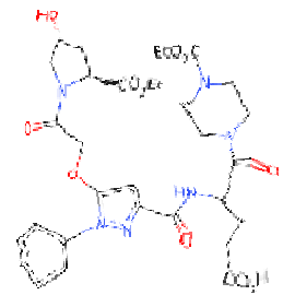 CCOC(=O)[C@@H]1C[C@@H](O)CN1C(=O)COc1cc(C(=O)NC(CCC(=O)O)C(=O)N2CCN(C(=O)OCC)CC2)nn1-c1ccccc1